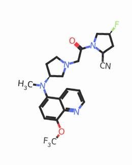 CN(c1ccc(OC(F)(F)F)c2ncccc12)[C@H]1CCN(CC(=O)N2C[C@@H](F)CC2C#N)C1